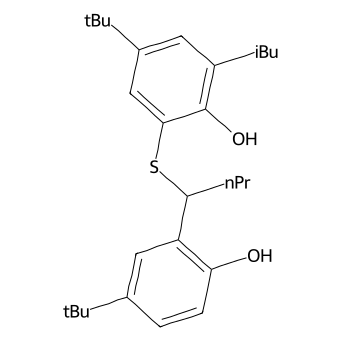 CCCC(Sc1cc(C(C)(C)C)cc(C(C)CC)c1O)c1cc(C(C)(C)C)ccc1O